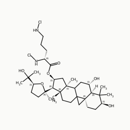 CC(C)(O)[C@@H]1CC[C@](C)([C@H]2[C@@H](OC(=O)[C@@H](CCCNCl)NCl)C[C@@]3(C)C4C[C@H](O)[C@H]5C(C)(C)[C@@H](O)CC[C@@]56CC46CC[C@]23C)O1